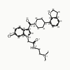 CN(C)CCNC(=O)Cn1cc(C(=O)N2CCC(c3cccc4c3OCC4)CC2)c2ccc(Cl)cc21